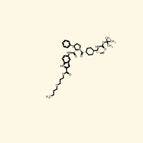 CCCCOCCCOC(=O)c1cc2cc(NC(=O)[C@@H]3[C@@H](c4ccccc4)CCN3C(=O)[C@H]3CC[C@H]([C@@H](CF)NC(=O)OC(C)(C)C)CC3)ccc2[nH]1